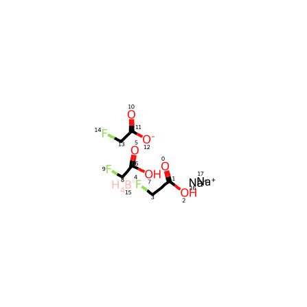 O=C(O)CF.O=C(O)CF.O=C([O-])CF.[BH4-].[Na+].[Na+]